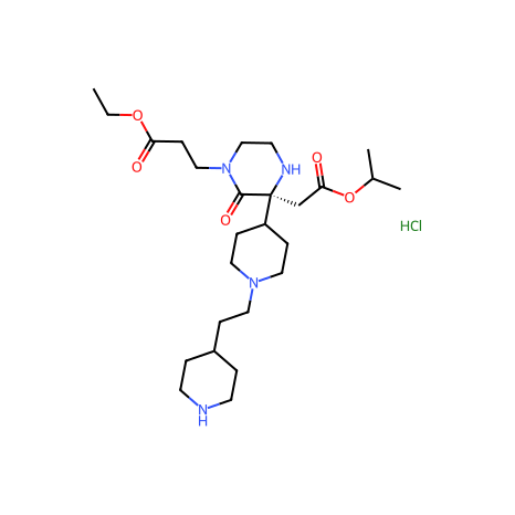 CCOC(=O)CCN1CCN[C@@](CC(=O)OC(C)C)(C2CCN(CCC3CCNCC3)CC2)C1=O.Cl